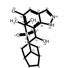 CC(C)S(=O)(=O)N1CC2CCC(C1)C2CC(O)c1cc(Cl)cc2cn[nH]c12